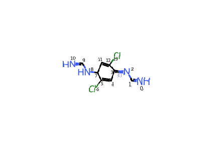 N=C/N=C1\C=C(Cl)C(NC=N)C=C1Cl